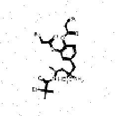 CCC(C)CC(=O)Oc1ccc(CC(N)(C[C@H](C)OC(=O)C(C)(C)CC)C(=O)O)cc1OC(=O)CC(C)CC